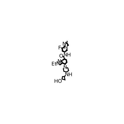 CCn1cc2c(N3CCC(NC4CC(O)C4)CC3)ccc(C(=O)Nc3cc(F)c4nc(C)cn4c3)c2n1